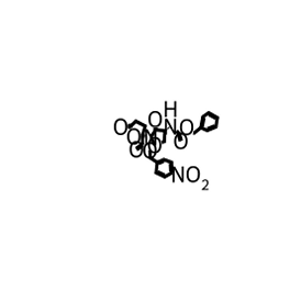 O=C1CCC(C(=O)OCc2ccc([N+](=O)[O-])cc2)(N2OC[C@@H](NC(=O)OCc3ccccc3)C2=O)O1